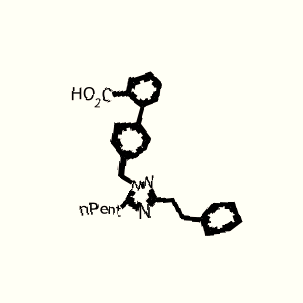 CCCCCc1nc(CCc2ccccc2)nn1Cc1ccc(-c2ccccc2C(=O)O)cc1